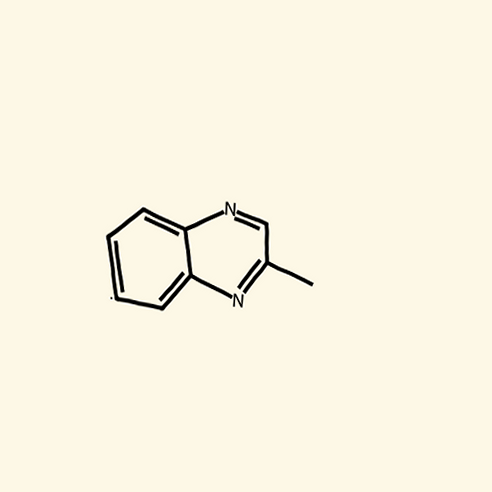 Cc1cnc2cc[c]cc2n1